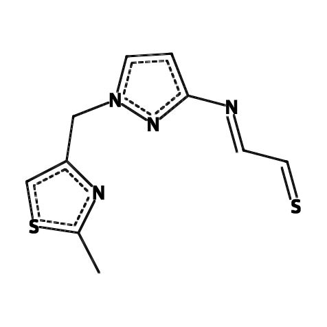 Cc1nc(Cn2ccc(N=CC=S)n2)cs1